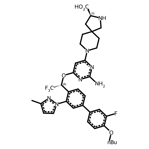 CCCCOc1ccc(-c2ccc([C@@H](Oc3cc(N4CCC5(CC4)CN[C@H](C(=O)O)C5)nc(N)n3)C(F)(F)F)c(-n3ccc(C)n3)c2)cc1F